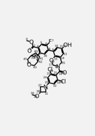 COC(=O)c1cc(F)c(-c2cc(O)cc3c2OCN(C(=O)c2c(Cl)cc(N4CC(OC)C4)cc2Cl)C3)cc1N1C2CCC1COC2